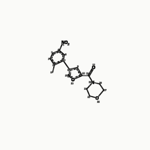 Cc1ccc([N+](=O)[O-])cc1-c1cc(C(=O)N2CCOCC2)on1